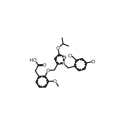 COc1cccc(CC(=O)O)c1OCc1cc(OC(C)C)nn1Cc1ccc(Cl)cc1Cl